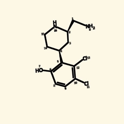 NC[C@H]1C[C@@H](c2c(O)ccc(Cl)c2Cl)CCN1